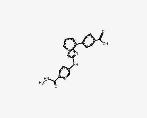 CNC(=O)c1ccc(Nc2nc3c(-c4ccc(C(=O)O)cc4)cccn3n2)cn1